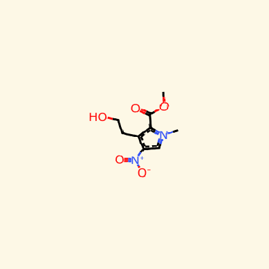 COC(=O)c1c(CCO)c([N+](=O)[O-])cn1C